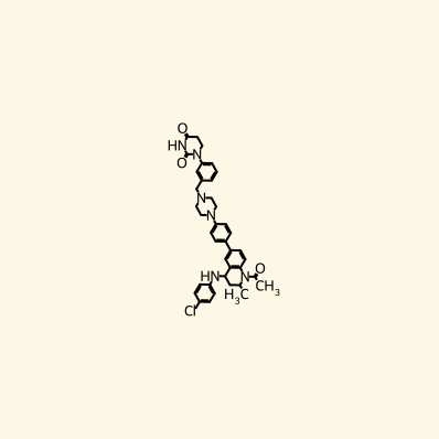 CC(=O)N1c2ccc(-c3ccc(N4CCN(Cc5cccc(N6CCC(=O)NC6=O)c5)CC4)cc3)cc2C(Nc2ccc(Cl)cc2)CC1C